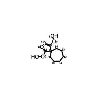 O=C(OO)C1(C(=O)OO)CCCCCC1